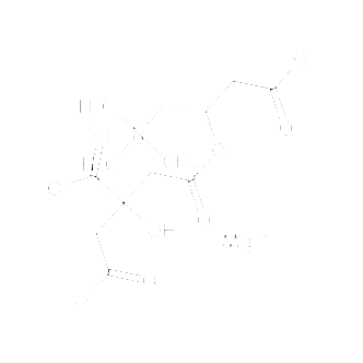 C[N+](C)(C)C[C@H](CC(=O)[O-])OC(=O)CC(O)(CC(=O)[O-])C(=O)[O-].[Mg+2]